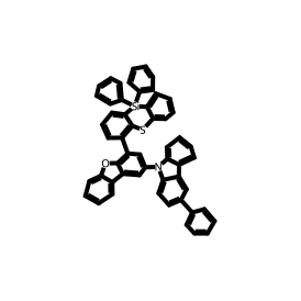 c1ccc(-c2ccc3c(c2)c2ccccc2n3-c2cc(-c3cccc4c3Sc3ccccc3[Si]4(c3ccccc3)c3ccccc3)c3oc4ccccc4c3c2)cc1